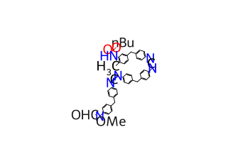 CCCCOC(=O)Nc1cc(Cc2ccc(N=C=Nc3ccc(Cc4ccc(N=C=Nc5ccc(Cc6ccc(N(C=O)OC)cc6)cc5)cc4)cc3)cc2)ccc1C